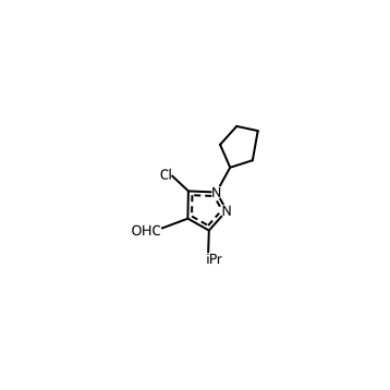 CC(C)c1nn(C2CCCC2)c(Cl)c1C=O